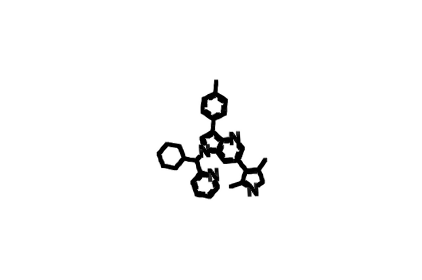 CC1=NCC(C)=C1c1cnc2c(-c3ccc(C)cc3)cn(C(c3ccccn3)C3CCCCC3)c2c1